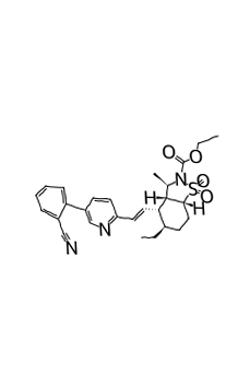 CCOC(=O)N1[C@H](C)[C@H]2[C@@H](/C=C/c3ccc(-c4ccccc4C#N)cn3)[C@H](CC)CC[C@H]2S1(=O)=O